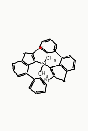 CCC1=C([Si](C)(C)C2=C(CC)[CH]c3cccc(-c4ccccc4)c32)c2c(cccc2-c2ccccc2)[CH]1